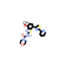 COc1ccc(-c2csc(-c3ccccn3)n2)c2sc(NC(=O)N3CCOCC3)nc12